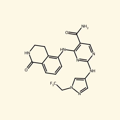 NC(=O)c1cnc(Nc2cnn(CC(F)(F)F)c2)nc1Nc1cccc2c1CCNC2=O